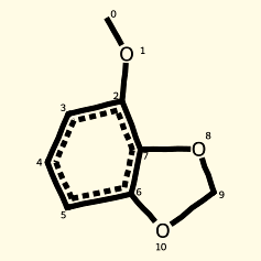 COc1c[c]cc2c1OCO2